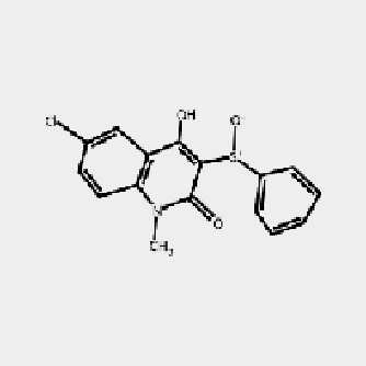 Cn1c(=O)c([S+]([O-])c2ccccc2)c(O)c2cc(Cl)ccc21